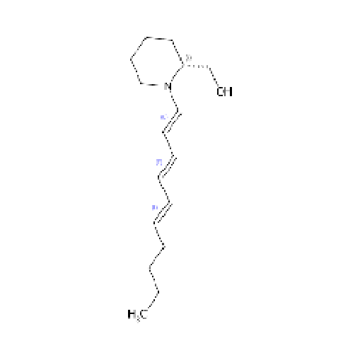 CCCC/C=C/C=C/C=C/N1CCCC[C@@H]1CO